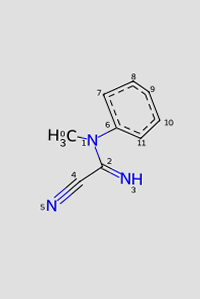 CN(C(=N)C#N)c1ccccc1